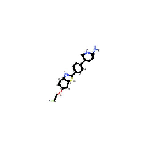 CNc1ccc(-c2ccc(-c3nc4ccc(OCCF)cc4s3)cc2)cn1